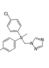 C[Si](Cn1cncn1)(c1ccc(Cl)cc1)c1ccc(Cl)cc1